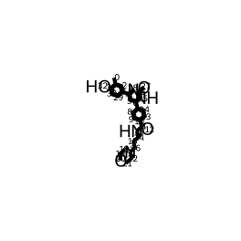 Cc1cc(-c2cc(-c3ccc(C(=O)NCCCN4CCOCC4)cc3)[nH]c(=O)n2)ccc1O